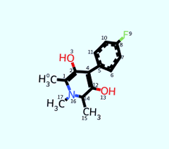 CC1=C(O)C(c2ccc(F)cc2)=C(O)C(C)N1C